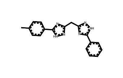 Cc1ccc(-c2nc(Cc3n[nH]c(-c4ccccc4)n3)n[nH]2)cc1